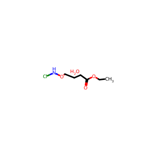 CCOC(=O)CCCONCl.O